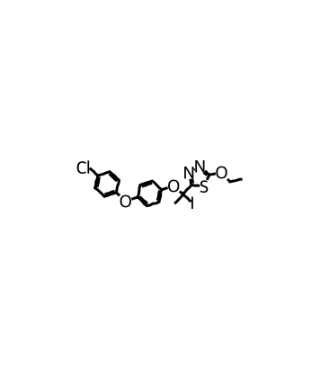 CCOc1nnc(C(C)(I)Oc2ccc(Oc3ccc(Cl)cc3)cc2)s1